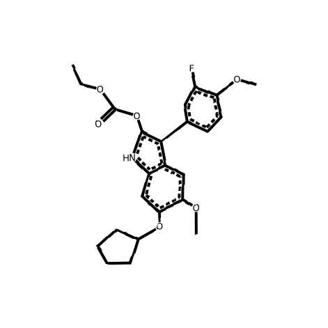 CCOC(=O)Oc1[nH]c2cc(OC3CCCC3)c(OC)cc2c1-c1ccc(OC)c(F)c1